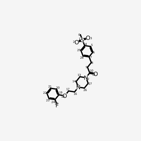 CS(=O)(=O)c1ccc(CCC(=O)N2CCN(CCOc3ccccc3F)CC2)cc1